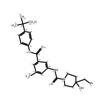 CC(C)CC1(O)CCN(C(=O)Nc2cc(C(=O)Oc3ccc(C(C)(C)C(=O)O)cc3)cc(C(F)(F)F)c2)CC1